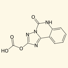 O=C(O)Oc1nc2c3ccccc3[nH]c(=O)n2n1